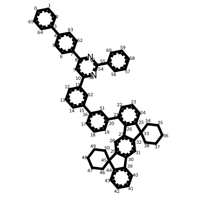 c1ccc(-c2ccc(-c3cc(-c4cccc(-c5cccc(-c6cccc7c6-c6cc8c(cc6C76CCCCC6)-c6ccccc6C86CCCCC6)c5)c4)nc(-c4ccccc4)n3)cc2)cc1